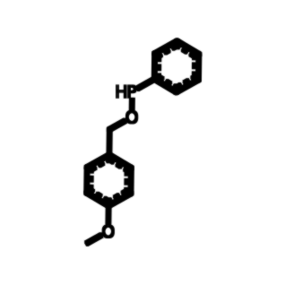 COc1ccc(COPc2ccccc2)cc1